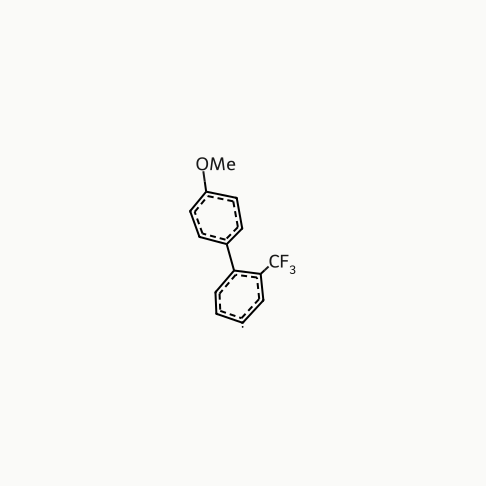 COc1ccc(-c2cc[c]cc2C(F)(F)F)cc1